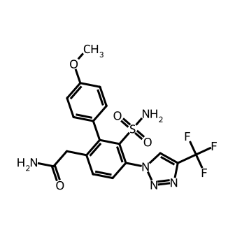 COc1ccc(-c2c(CC(N)=O)ccc(-n3cc(C(F)(F)F)nn3)c2S(N)(=O)=O)cc1